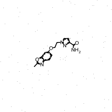 Cc1nc2ccc(OCCn3c[c]c(C(N)=O)n3)cc2o1